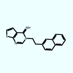 N=c1c2ccsc2ncn1CCc1ccc2ccccc2c1